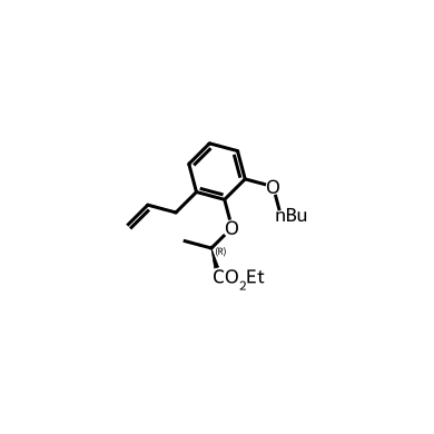 C=CCc1cccc(OCCCC)c1O[C@H](C)C(=O)OCC